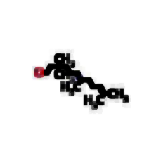 CC(C)=CCC/C(C)=C/CCC(C)(C)CC=O